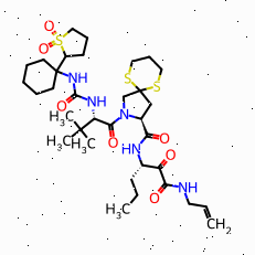 C=CCNC(=O)C(=O)[C@H](CCC)NC(=O)[C@@H]1CC2(CN1C(=O)[C@@H](NC(=O)NC1(C3CCCS3(=O)=O)CCCCC1)C(C)(C)C)SCCCS2